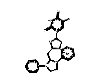 CC(=O)O[C@H]1C[C@H](n2cc(C)c(=O)[nH]c2=O)O[C@@H]1CC1N(c2ccccc2)CCN1c1ccccc1